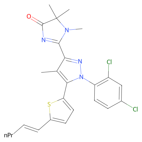 CCCC=Cc1ccc(-c2c(C)c(C3=NC(=O)C(C)(C)N3C)nn2-c2ccc(Cl)cc2Cl)s1